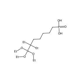 CCO[Si](OCC)(OCC)C(CC)(CC)CCCCCP(=O)(O)O